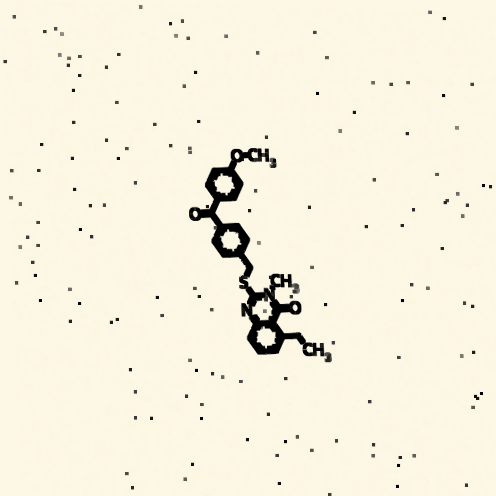 CCc1cccc2nc(SCc3ccc(C(=O)c4ccc(OC)cc4)cc3)n(C)c(=O)c12